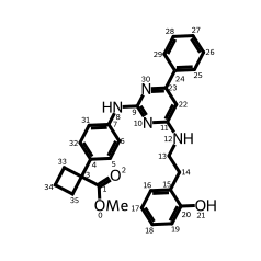 COC(=O)C1(c2ccc(Nc3nc(NCCc4ccccc4O)cc(-c4ccccc4)n3)cc2)CCC1